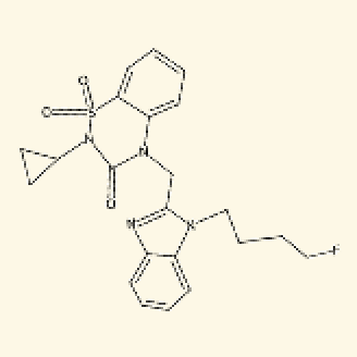 O=C1N(Cc2nc3ccccc3n2CCCCF)c2ccccc2S(=O)(=O)N1C1CC1